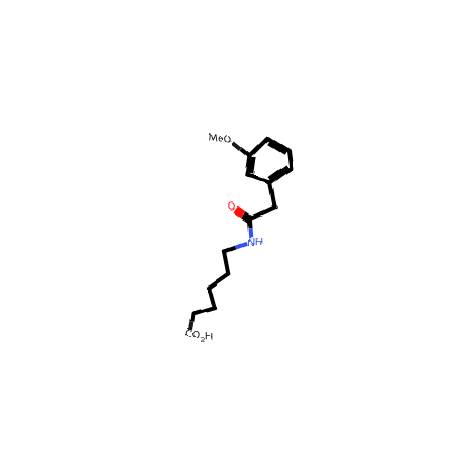 COc1cccc(CC(=O)NCCCCCC(=O)O)c1